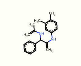 C=C(C)NC(C(=C)Nc1ccc(C)c(C)c1)c1ccccc1